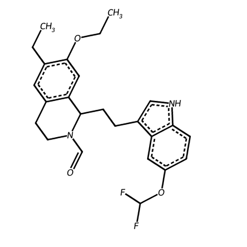 CCOc1cc2c(cc1CC)CCN(C=O)C2CCc1c[nH]c2ccc(OC(F)F)cc12